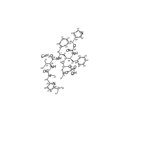 CCCC(O[C@@H](C[C@H](Cc1ccccc1)NC(=O)[C@@H](NC(=O)N(C)Cc1csc(C(C)C)n1)C(C)C)[C@H](Cc1ccccc1)NC(=O)OCc1cncs1)OP(=O)(O)O.[CaH2]